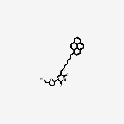 O=c1[nH]c(=O)n(C2CCC(CO)O2)cc1COCCCCCc1ccc2ccc3cccc4ccc1c2c34